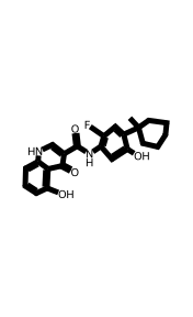 CC1(c2cc(F)c(NC(=O)c3c[nH]c4cccc(O)c4c3=O)cc2O)CCCCC1